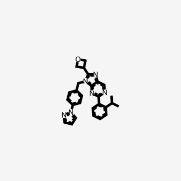 CC(C)c1ccccc1-c1ncc2nc(C3COC3)n(Cc3ccc(-n4cccn4)cc3)c2n1